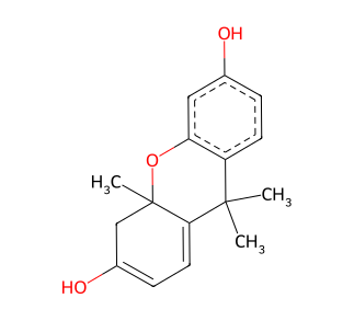 CC12CC(O)=CC=C1C(C)(C)c1ccc(O)cc1O2